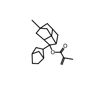 C=C(C)C(=O)OC1(C2CC3CCC2C3)C2CC3CC1CC(C)(C3)C2